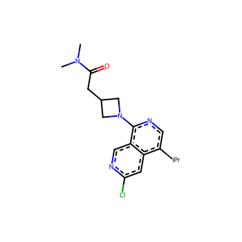 CC(C)c1cnc(N2CC(CC(=O)N(C)C)C2)c2cnc(Cl)cc12